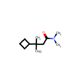 CN(C)C(=O)CC(C)(C=O)C1CCC1